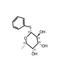 C[C@@H]1O[C@H](Sc2ccccc2)[C@@H](O)[C@H](O)[C@@H]1O